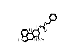 CCCN1CC(NC(=O)OCc2ccccc2)C[C@@H]2c3cccc4[nH]cc(c34)C[C@H]21